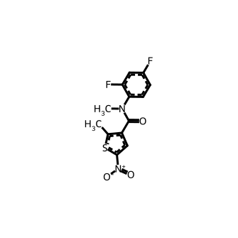 Cc1sc([N+](=O)[O-])cc1C(=O)N(C)c1ccc(F)cc1F